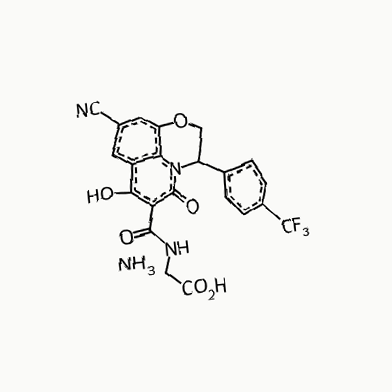 N.N#Cc1cc2c3c(c1)c(O)c(C(=O)NCC(=O)O)c(=O)n3C(c1ccc(C(F)(F)F)cc1)CO2